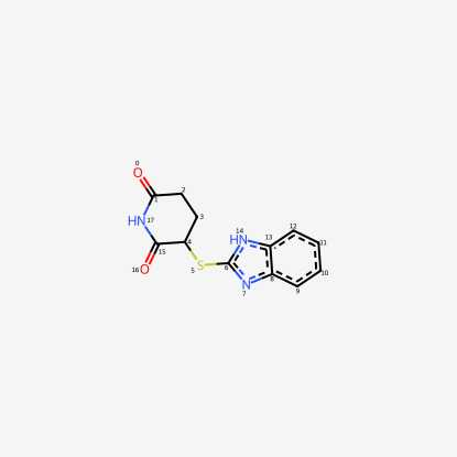 O=C1CCC(Sc2nc3ccccc3[nH]2)C(=O)N1